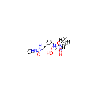 C[C@@H]1[C@@H](NC(=O)[C@@H]2[C@H]([C@H](C)O)[C@H](CO)ON2Cc2cccc(C#CCNC(=O)NCc3ccccc3)c2)C[C@H]2C[C@@H]1C2(C)C